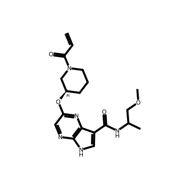 C=CC(=O)N1CCC[C@@H](Oc2cnc3[nH]cc(C(=O)NC(C)COC)c3n2)C1